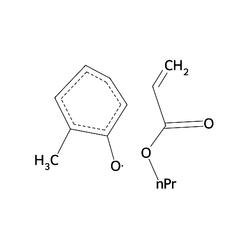 C=CC(=O)OCCC.Cc1ccccc1[O]